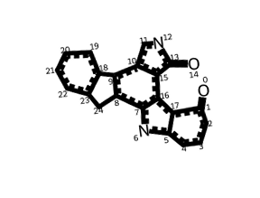 O=c1cccc2nc3c4c(c5cnc(=O)c5c3c1-2)-c1ccccc1C4